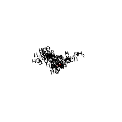 CC(C)[C@H](NC(=O)[C@@H](NC(=O)[C@H](Cc1ccccc1)NC(=O)CNC(=O)[C@H](CCC(=O)O)NC(=O)[C@H](CC(N)=O)NC(=O)[C@@H](N)CCC(=O)O)[C@@H](C)O)C(=O)N[C@H](C(=O)N[C@@H](C)C(=O)N[C@@H](CCC(=O)O)C(=O)NCC(=O)N[C@@H](CCCCN)C(=O)O)[C@@H](C)O